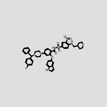 O=C(NS(=O)(=O)c1ccc(NCC2CCOCC2)c([N+](=O)[O-])c1)c1ccc(N2CCN(C(c3ccccc3)c3ccc(F)cc3)CC2)cc1Oc1ccc2[nH]ccc2c1